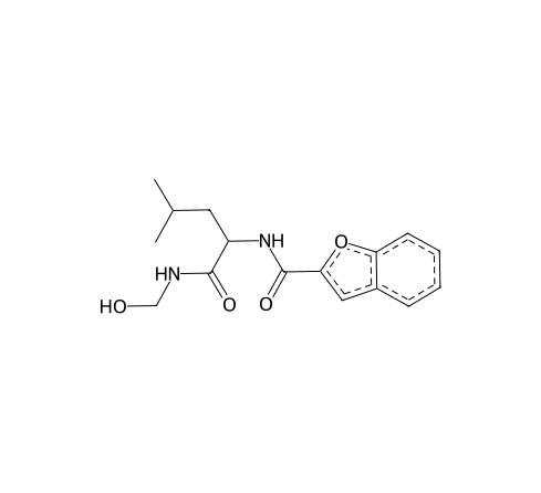 CC(C)CC(NC(=O)c1cc2ccccc2o1)C(=O)NCO